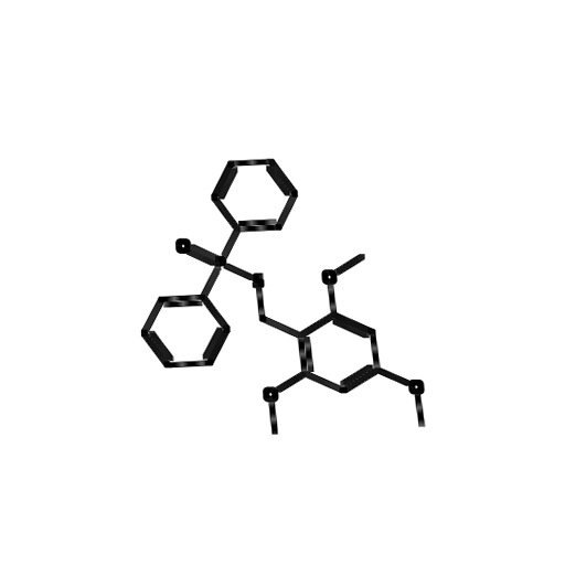 COc1cc(OC)c(CSP(=O)(c2ccccc2)c2ccccc2)c(OC)c1